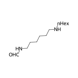 CCCCCCNCCCCCCNC=O